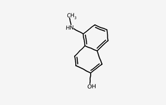 CNc1cccc2cc(O)ccc12